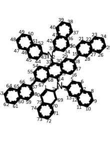 C1=CC(N(c2ccc3ccccc3c2)c2c3ccc(-c4ccc5ccccc5c4)cc3c(N(c3ccc4ccccc4c3)c3ccc4ccccc4c3)c3ccc(-c4ccc5ccccc5c4)cc23)Cc2ccccc21